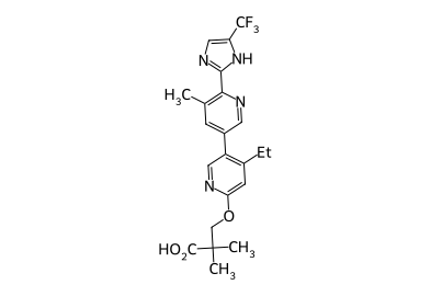 CCc1cc(OCC(C)(C)C(=O)O)ncc1-c1cnc(-c2ncc(C(F)(F)F)[nH]2)c(C)c1